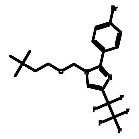 C[Si](C)(C)CCOCn1cc(C(F)(F)C(F)(F)F)nc1-c1ccc(Br)cc1